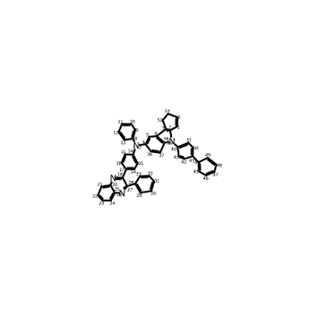 C1=Cc2c(c3cc(N(c4ccccc4)c4ccc(-c5nc6ccccc6nc5-c5ccccc5)cc4)ccc3n2-c2ccc(-c3ccccc3)cc2)CC1